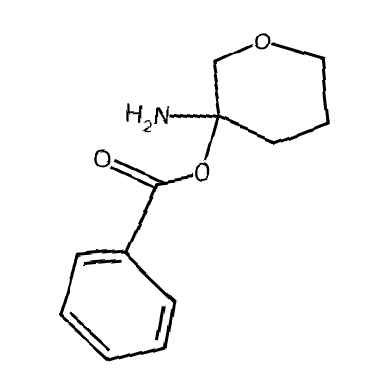 NC1(OC(=O)c2ccccc2)CCCOC1